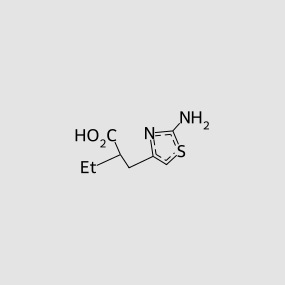 CCC(Cc1csc(N)n1)C(=O)O